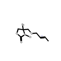 C/C=C/COCC1(CC)COC(=O)N1Cl